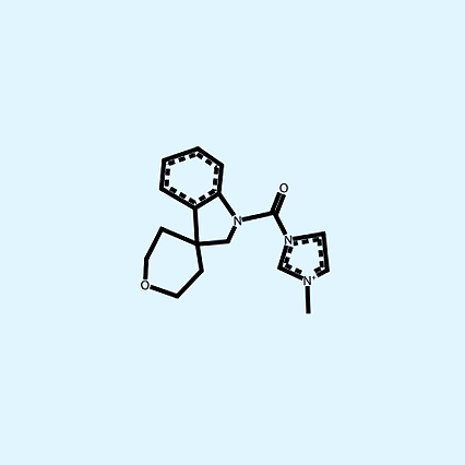 C[n+]1ccn(C(=O)N2CC3(CCOCC3)c3ccccc32)c1